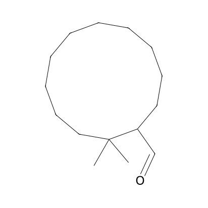 CC1(C)CCCCCCCCCCC1C=O